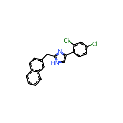 Clc1ccc(-c2c[nH]c(Cc3ccc4ccccc4c3)n2)c(Cl)c1